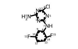 Nc1nc(Cl)nc(Nc2cc(F)ccc2F)n1